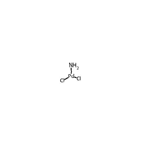 [NH2][Pd]([Cl])[Cl]